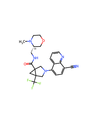 CN1CCOC[C@@H]1CNC(=O)C12CN(c3ccc(C#N)c4ncccc34)CC1(C(F)(F)F)C2